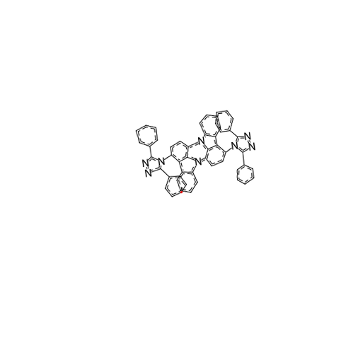 c1ccc(-c2nnc(-c3ccccc3)n2-c2ccc3c4c2c2ccccc2n4c2ccc(-n4c(-c5ccccc5)nnc4-c4ccccc4)c4c5ccccc5n3c42)cc1